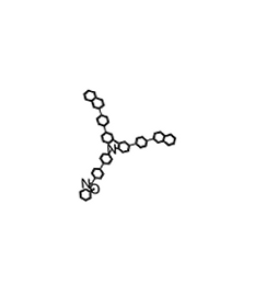 c1ccc2cc(-c3ccc(-c4ccc5c(c4)c4cc(-c6ccc(-c7ccc8ccccc8c7)cc6)ccc4n5-c4ccc(-c5ccc(-c6nc7ccccc7o6)cc5)cc4)cc3)ccc2c1